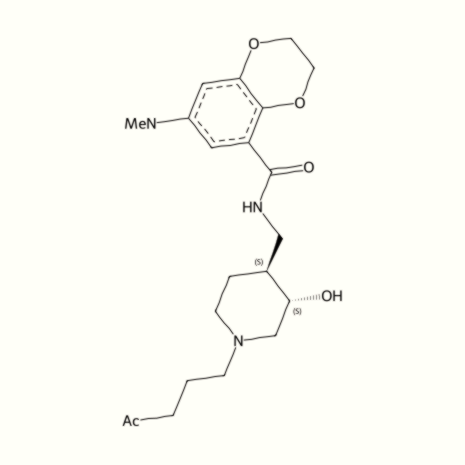 CNc1cc2c(c(C(=O)NC[C@@H]3CCN(CCCC(C)=O)C[C@H]3O)c1)OCCO2